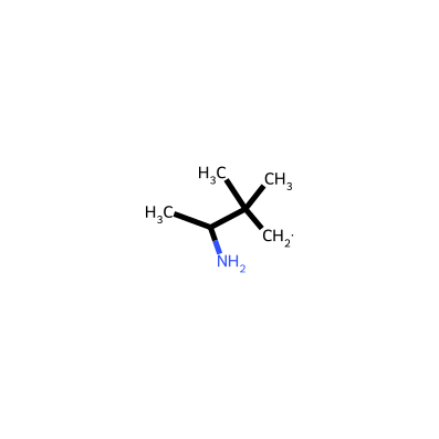 [CH2]C(C)(C)C(C)N